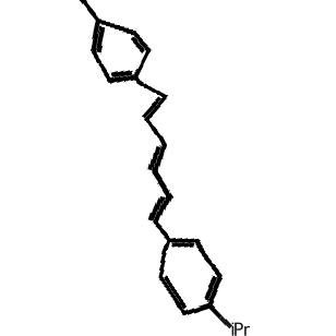 Cc1ccc(C=CC=CC=Cc2ccc(C(C)C)cc2)cc1